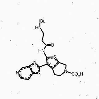 CCC(C)NCCC(=O)Nc1sc2c(c1-c1nc3cnccc3s1)CCN(C(=O)O)C2